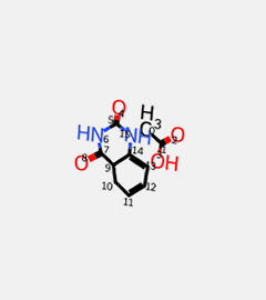 CC(=O)O.O=C1NC(=O)C2CC=CC=C2N1